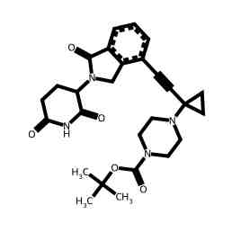 CC(C)(C)OC(=O)N1CCN(C2(C#Cc3cccc4c3CN(C3CCC(=O)NC3=O)C4=O)CC2)CC1